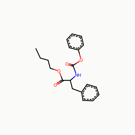 CCCCOC(=O)C(Cc1ccccc1)NC(=O)Oc1ccccc1